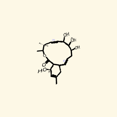 CC1=C[C@@H](O)C2C(=O)OC(C)[C@H](C)/C=C\C(O)C(O)C(O)C/C=C/C2C1